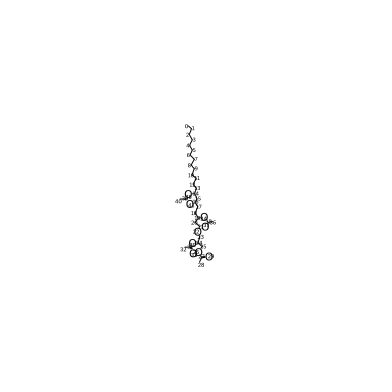 CCCCCCCCCCCCCCC(CCCCC(CCOCC(COC(C)=O)OC(C)=O)OC(C)=O)OC(C)=O